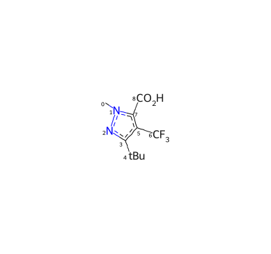 Cn1nc(C(C)(C)C)c(C(F)(F)F)c1C(=O)O